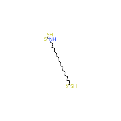 S=C(S)CCCCCCCCCCCCCCCCCCNC(=S)S